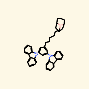 c1ccc2c(c1)c1ccccc1n2-c1cc(CCCCCCB2C3CCCC2CCC3)cc(-n2c3ccccc3c3ccccc32)c1